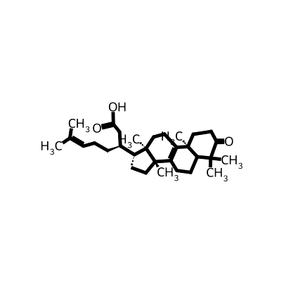 CC(C)=CCC[C@@H](CC(=O)O)[C@H]1CC[C@@]2(C)C3=C(CC[C@]12C)[C@@]1(C)CCC(=O)C(C)(C)C1CC3